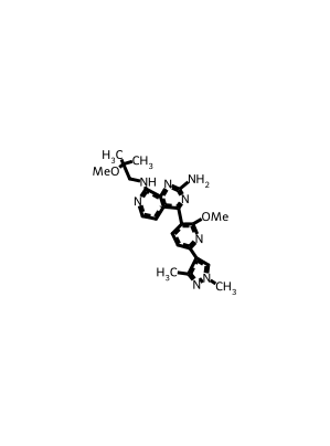 COc1nc(-c2cn(C)nc2C)ccc1-c1nc(N)nc2c(NCC(C)(C)OC)nccc12